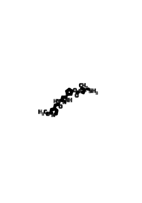 COc1cc(CC(=O)Nc2cc([C@H]3CCC(OC(=O)N4C[C@H](C[SiH3])[C@H]4C)C3)[nH]n2)ccn1